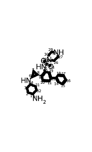 N[C@H]1CC[C@@H](N[C@@H]2C[C@H]2c2ccc(-c3ccccc3)cc2NS(=O)(=O)N2CCNCC2)CC1